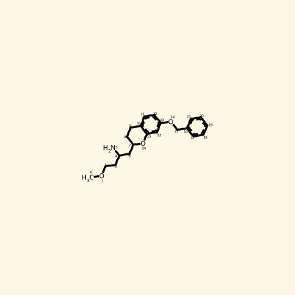 COCCC(N)CC1CCc2ccc(OCc3ccccc3)cc2O1